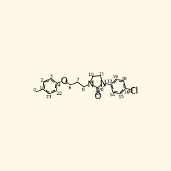 Cc1ccc(OCCCN2CCN(c3ccc(Cl)cc3)C2=O)cc1